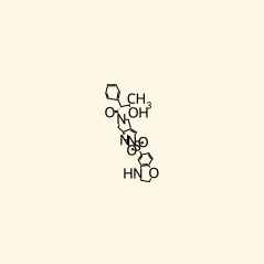 C[C@H](O)[C@H](C(=O)N1Cc2cn(S(=O)(=O)c3ccc4c(c3)NCCO4)nc2C1)c1ccccc1